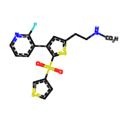 O=C(O)NCCc1cc(-c2cccnc2F)c(S(=O)(=O)c2ccsc2)s1